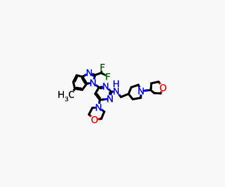 Cc1ccc2nc(C(F)F)n(-c3cc(N4CCOCC4)nc(NCC4CCN(C5CCOCC5)CC4)n3)c2c1